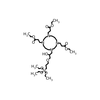 CCOC(=O)CCN1CCCN(CCC(=O)OCC)CCN(CC(O)COCCC[Si](OCC)(OCC)OCC)CCCN(CCC(=O)OCC)CC1